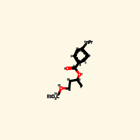 CCCc1ccc(C(=O)OC(C)CCOC(=O)OCC)cc1